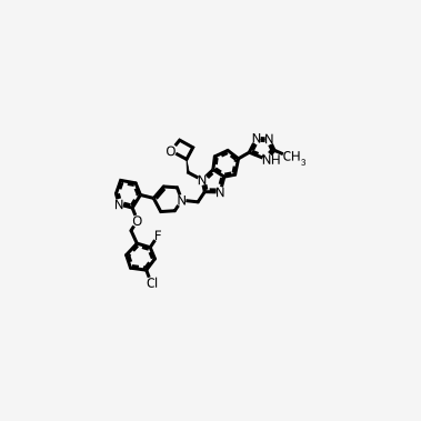 Cc1nnc(-c2ccc3c(c2)nc(CN2CC=C(c4cccnc4OCc4ccc(Cl)cc4F)CC2)n3C[C@@H]2CCO2)[nH]1